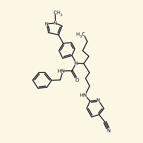 CCCCC(CCCNc1ccc(C#N)cn1)N(C(=O)NCc1ccccc1)c1ccc(-c2cnn(C)c2)cc1